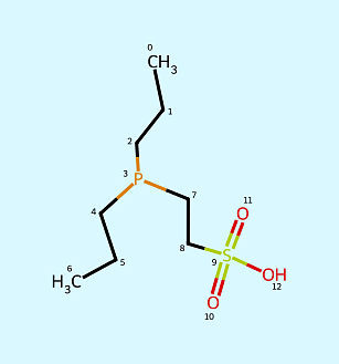 CCCP(CCC)CCS(=O)(=O)O